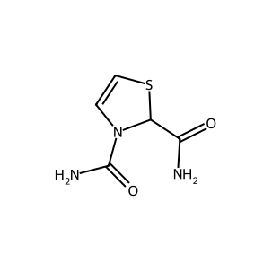 NC(=O)C1SC=CN1C(N)=O